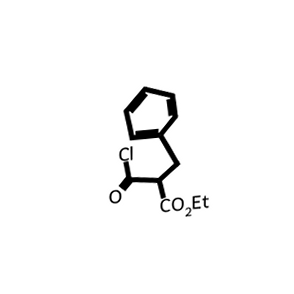 CCOC(=O)C(Cc1ccccc1)C(=O)Cl